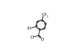 CCc1cc(C(F)(F)F)ccc1C(=O)Cl